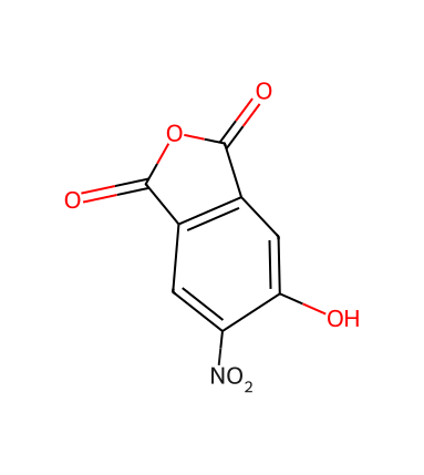 O=C1OC(=O)c2cc([N+](=O)[O-])c(O)cc21